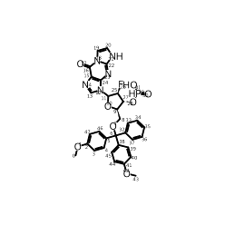 COc1ccc(C(OC[C@H]2OC(n3cnc4c(=O)n5cc[nH]c5nc43)[C@@H](F)[C@@H]2O[PH](=O)O)(c2ccccc2)c2ccc(OC)cc2)cc1